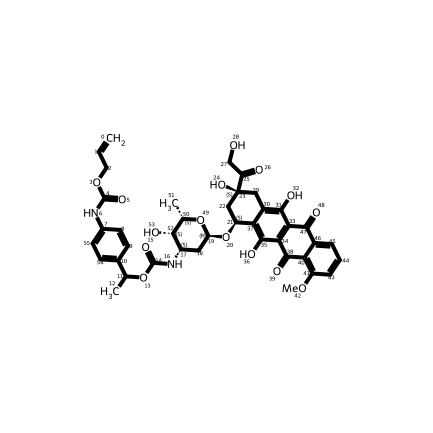 C=CCOC(=O)Nc1ccc(C(C)OC(=O)N[C@H]2C[C@H](O[C@H]3C[C@](O)(C(=O)CO)Cc4c(O)c5c(c(O)c43)C(=O)c3c(OC)cccc3C5=O)O[C@@H](C)[C@H]2O)cc1